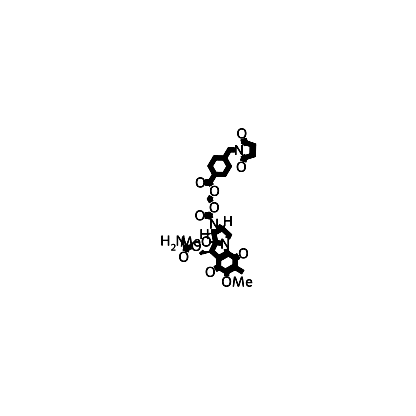 COC1=C(C)C(=O)C2=C(C1=O)[C@@H](COC(N)=O)[C@@]1(OC)[C@@H]3[C@H](CN21)N3C(=O)OCOC(=O)C1CCC(CN2C(=O)C=CC2=O)CC1